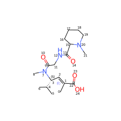 C/C(=C\[C@H](C(C)C)N(C)C(=O)CNC(=O)C1CCCCN1C)C(=O)O